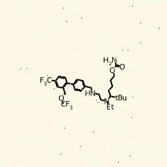 CCN(CCNCc1ccc(-c2ccc(C(F)(F)F)cc2COC(F)(F)F)cc1)C(CCCCOC(N)=O)C(C)(C)C